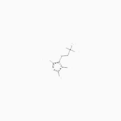 CCOC(=O)c1[nH]c(C)c(C(=O)OCC)c1CCC(C)(C)N